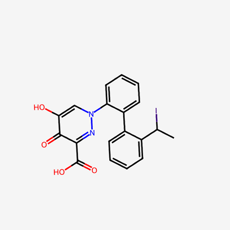 CC(I)c1ccccc1-c1ccccc1-n1cc(O)c(=O)c(C(=O)O)n1